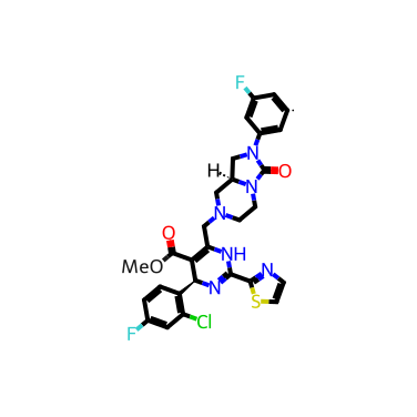 COC(=O)C1=C(CN2CCN3C(=O)N(c4c[c]cc(F)c4)C[C@@H]3C2)NC(c2nccs2)=N[C@H]1c1ccc(F)cc1Cl